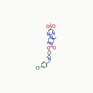 C[C@@H]1CN(c2ncc(S(C)(=O)=O)cn2)[C@@H](C)CN1C(=O)OC1CC2(C1)CN(Cc1ccc(Cl)cc1)C2